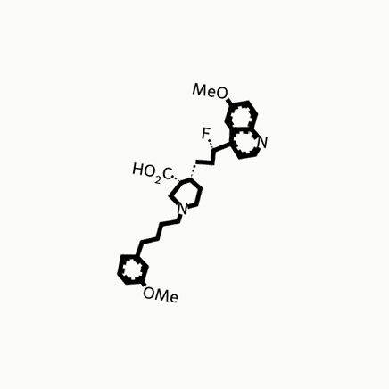 COc1cccc(CCCCN2CC[C@@H](CC[C@H](F)c3ccnc4ccc(OC)cc34)[C@@H](C(=O)O)C2)c1